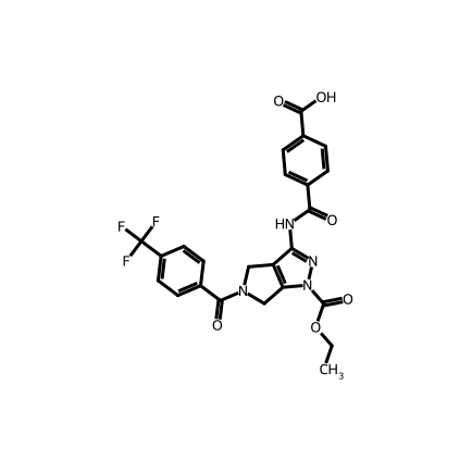 CCOC(=O)n1nc(NC(=O)c2ccc(C(=O)O)cc2)c2c1CN(C(=O)c1ccc(C(F)(F)F)cc1)C2